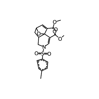 COC(=O)C1=CC2CC3CN(S(=O)(=O)c4ccc(C)cc4)C=C(C(=O)OC)C13O2